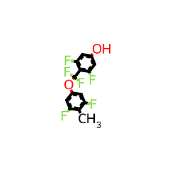 Cc1c(F)cc(OC(F)(F)c2c(F)cc(O)cc2F)cc1F